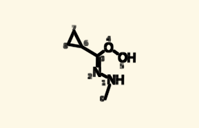 CN/N=C(\OO)C1CC1